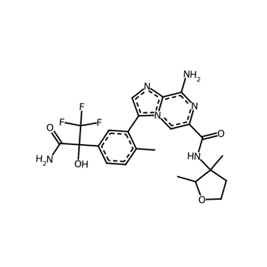 Cc1ccc(C(O)(C(N)=O)C(F)(F)F)cc1-c1cnc2c(N)nc(C(=O)NC3(C)CCOC3C)cn12